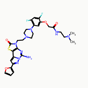 CN(C)CCNC(=O)COc1cc(N2CCN(CCn3c(=O)sc4c3nc(N)n3nc(-c5ccco5)cc43)CC2)c(F)cc1F